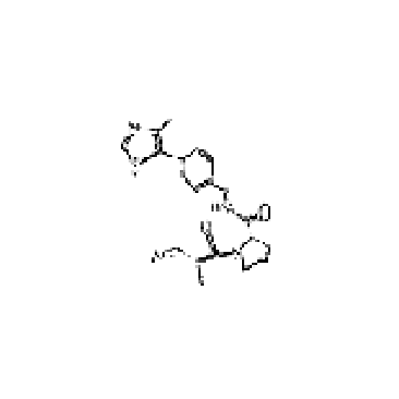 CC(=O)O[C@@H](C)C(=O)N1CCC[C@H]1C(=O)NCc1ccc(-c2scnc2C)cc1